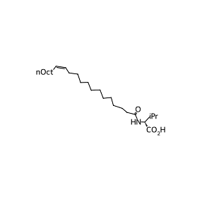 CCCCCCCC/C=C\CCCCCCCCCCCC(=O)N[C@H](C(=O)O)C(C)C